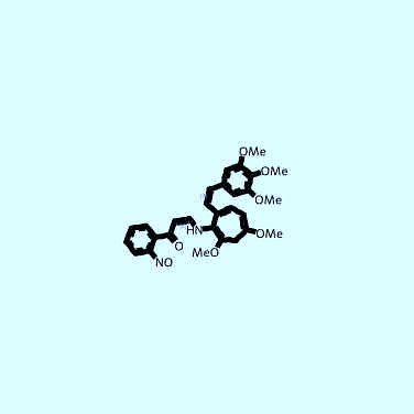 COC1=CC=C(/C=C\c2cc(OC)c(OC)c(OC)c2)C(N/C=C\C(=O)c2ccccc2N=O)=C(OC)C1